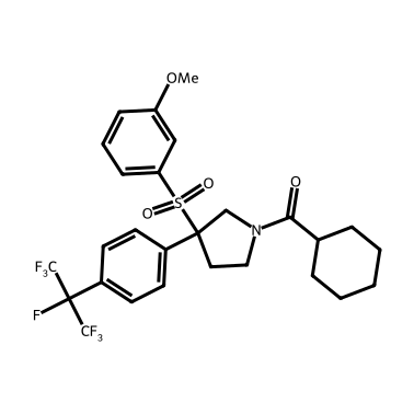 COc1cccc(S(=O)(=O)C2(c3ccc(C(F)(C(F)(F)F)C(F)(F)F)cc3)CCN(C(=O)C3CCCCC3)C2)c1